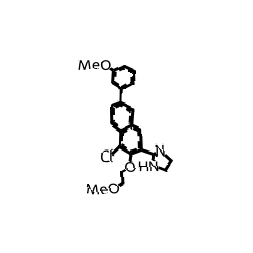 COCCOc1c(C2=NCCN2)cc2cc(-c3cccc(OC)c3)ccc2c1Cl